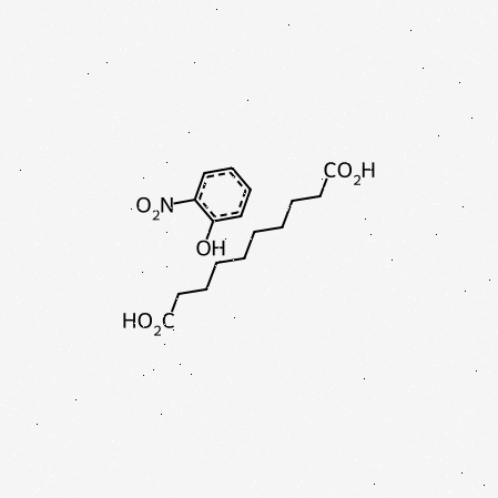 O=C(O)CCCCCCCCC(=O)O.O=[N+]([O-])c1ccccc1O